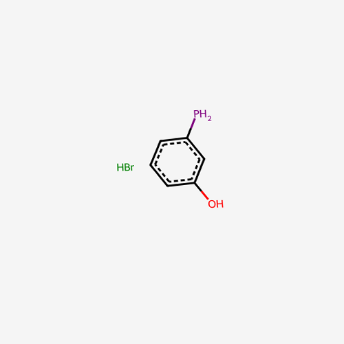 Br.Oc1cccc(P)c1